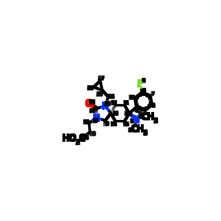 CN(C)[C@]1(c2cccc(F)c2)CC[C@]2(CC1)CN(CCC(=O)O)C(=O)N2CC1CC1